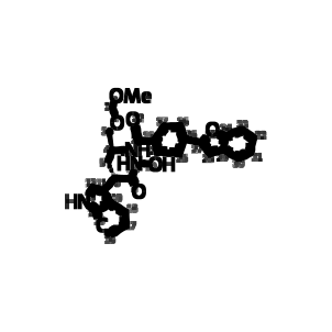 COCOC[C@H](C[C@H](C(=O)NO)c1c[nH]c2ccccc12)NC(=O)c1ccc(-c2cc3ccccc3o2)cc1